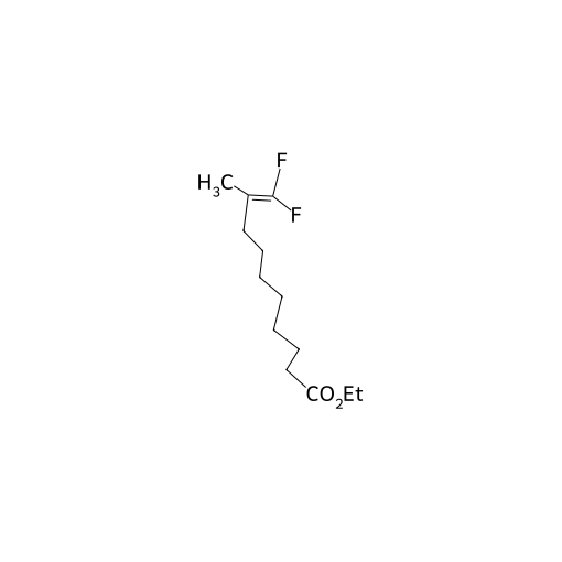 CCOC(=O)CCCCCCCC(C)=C(F)F